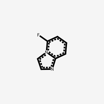 Fc1cccc2nccn12